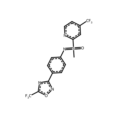 CS(=O)(=Nc1ccc(-c2noc(C(F)(F)F)n2)cc1)c1cc(C(F)(F)F)ccn1